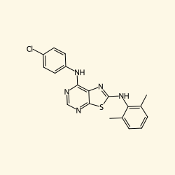 Cc1cccc(C)c1Nc1nc2c(Nc3ccc(Cl)cc3)ncnc2s1